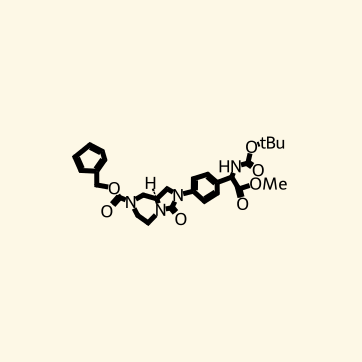 COC(=O)C(NC(=O)OC(C)(C)C)c1ccc(N2C[C@@H]3CN(C(=O)OCc4ccccc4)CCN3C2=O)cc1